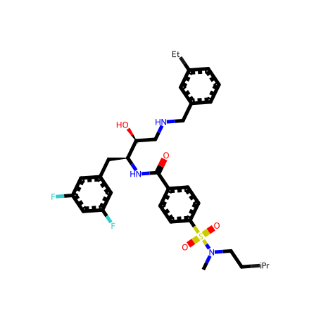 CCc1cccc(CNC[C@H](O)[C@H](Cc2cc(F)cc(F)c2)NC(=O)c2ccc(S(=O)(=O)N(C)CCC(C)C)cc2)c1